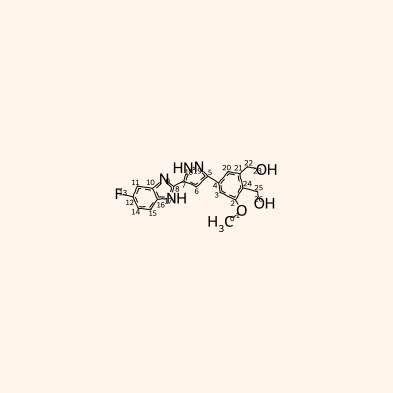 COc1cc(-c2cc(-c3nc4cc(F)ccc4[nH]3)[nH]n2)cc(CO)c1CO